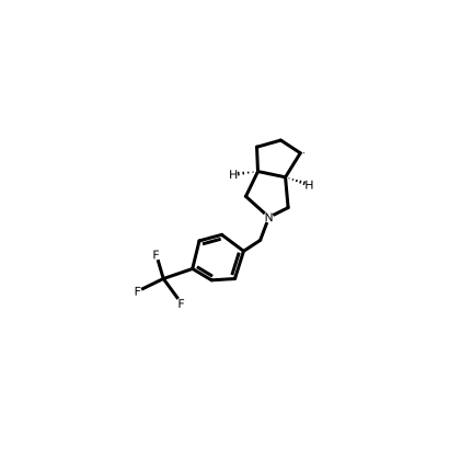 FC(F)(F)c1ccc(CN2C[C@H]3CC[CH][C@H]3C2)cc1